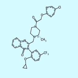 C[C@H]1CN(C(=O)COc2ccc(Cl)cc2)CCN1Cc1nc2ccccc2c(=O)n1-c1cc(C(F)(F)F)ccc1OC1CC1